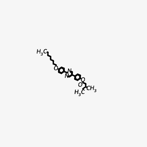 CCCCCCCCOc1ccc(-c2ncc(-c3ccc(OC(=O)CC(C)CC)cc3)cn2)cc1